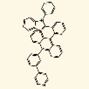 c1ccc(-n2c(-c3ccccc3-c3c4ccccc4c(-c4cccc(-c5ccncc5)c4)c4ccccc34)nc3ccccc32)cc1